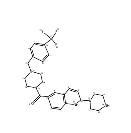 O=C(c1ccc2c(c1)C=CC(N1CCNCC1)N2)N1CCN(Cc2ccc(C(F)(F)F)cc2)CC1